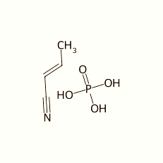 CC=CC#N.O=P(O)(O)O